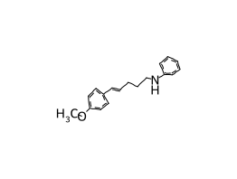 COc1ccc(C=CCCCNc2ccccc2)cc1